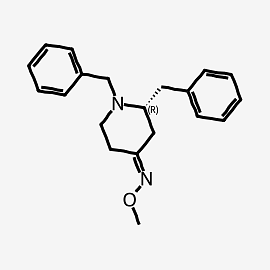 CON=C1CCN(Cc2ccccc2)[C@H](Cc2ccccc2)C1